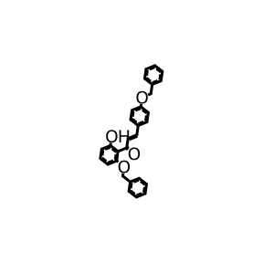 O=C(C=Cc1ccc(OCc2ccccc2)cc1)c1c(O)cccc1OCc1ccccc1